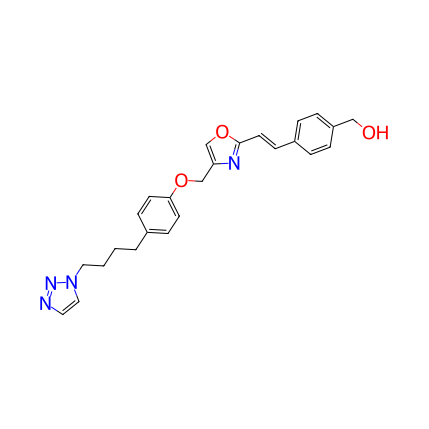 OCc1ccc(C=Cc2nc(COc3ccc(CCCCn4ccnn4)cc3)co2)cc1